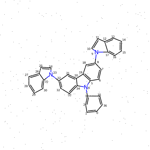 c1ccc(-n2c3ccc(-n4ccc5ccccc54)cc3c3cc(-n4ccc5ccccc54)ccc32)cc1